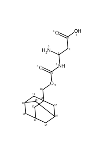 NC(CC(=O)O)NC(=O)OCC12CC3CC(CC(C3)C1)C2